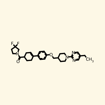 CCc1cnc(N2CCC(COc3ccc(C4=CCC(C(=O)N5CCC(F)(F)C5)CC4)cc3)CC2)nc1